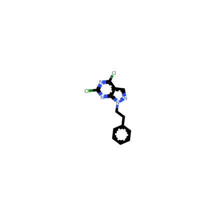 Clc1nc(Cl)c2cnn(CCc3ccccc3)c2n1